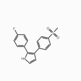 CS(=O)(=O)c1ccc(-c2cc[nH]c2-c2ccc(F)cc2)cc1